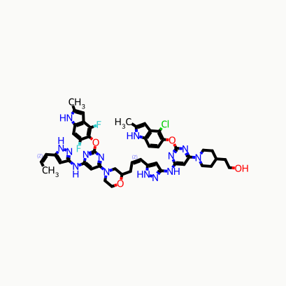 C/C=C\c1cc(Nc2cc(N3CCOC(C/C=C\c4cc(Nc5cc(N6CCC(CCO)CC6)nc(Oc6ccc7[nH]c(C)cc7c6Cl)n5)n[nH]4)C3)nc(Oc3c(F)cc4[nH]c(C)cc4c3F)n2)n[nH]1